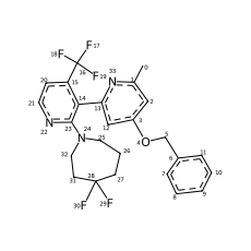 Cc1cc(OCc2ccccc2)cc(-c2c(C(F)(F)F)ccnc2N2CCCC(F)(F)CC2)n1